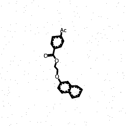 CC(=O)c1ccc(C(=O)OCCOc2ccc3ccccc3c2)cc1